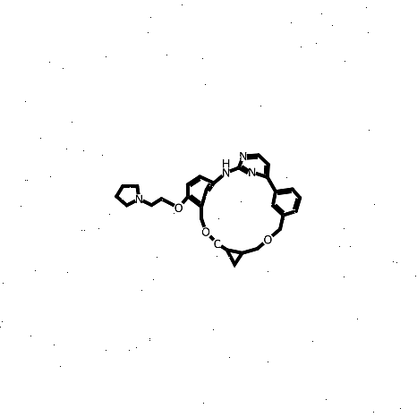 c1cc2cc(c1)-c1ccnc(n1)Nc1ccc(OCCN3CCCC3)c(c1)COCC1CC1COC2